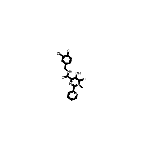 Cn1c(-c2ccccn2)nc(C(=O)NCc2ccc(Cl)c(Cl)c2)c(O)c1=O